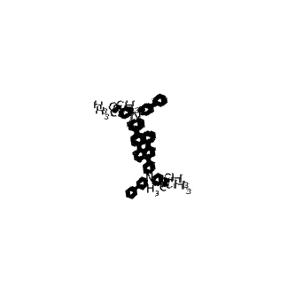 C[Si](C)(C)c1ccc(N(c2ccc(-c3ccccc3)cc2)c2ccc(-c3ccc4c5cccc6c(-c7ccc(N(c8ccc(-c9ccccc9)cc8)c8ccc([Si](C)(C)C)cc8)cc7)ccc(c7cccc3c74)c65)cc2)cc1